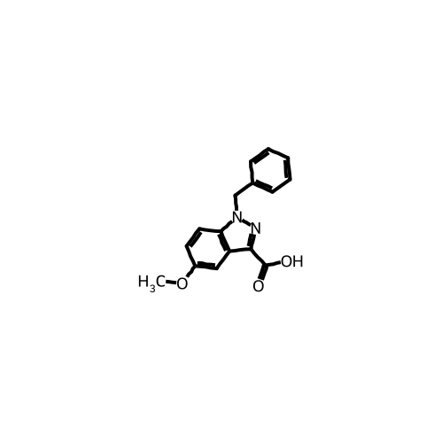 COc1ccc2c(c1)c(C(=O)O)nn2Cc1ccccc1